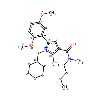 CCCCN(C)C(=O)c1cc(-c2cc(OC)ccc2OC)n(CC2CCCCC2)c1C